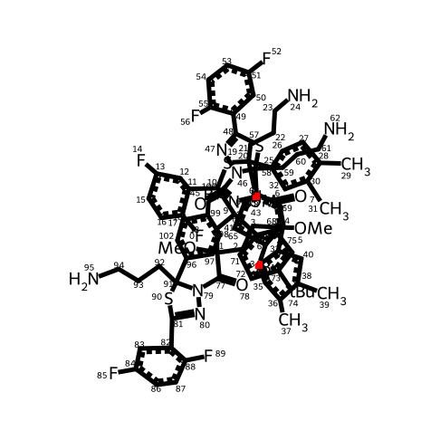 COC(CCC(OC)(C(=O)N1N=C(c2cc(F)ccc2F)SC1(CCCN)c1ccc(C)c(C)c1)c1ccc(C)c(C)c1)(C[C@@](OC)(C(=O)N1N=C(c2cc(F)ccc2F)SC1(CCCN)c1ccc(C(C)(C)C)cc1)c1ccc(C(C)(C)C)cc1)C(=O)N1N=C(c2cc(F)ccc2F)SC1(CCCN)c1ccc(Br)cc1